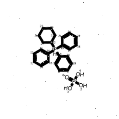 O=P(O)(O)O.c1ccc([PH](c2ccccc2)(c2ccccc2)C2CCCCC2)cc1